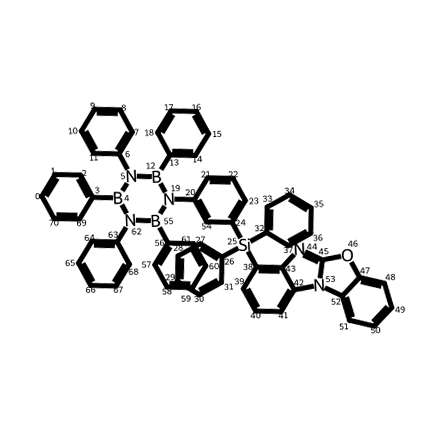 c1ccc(B2N(c3ccccc3)B(c3ccccc3)N(c3cccc([Si](c4ccccc4)(c4ccccc4)c4cccc5c4nc4oc6ccccc6n45)c3)B(c3ccccc3)N2c2ccccc2)cc1